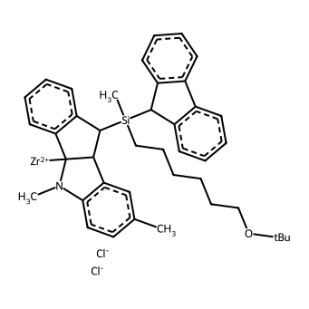 Cc1ccc2c(c1)C1C([Si](C)(CCCCCCOC(C)(C)C)C3c4ccccc4-c4ccccc43)c3ccccc3[C]1([Zr+2])N2C.[Cl-].[Cl-]